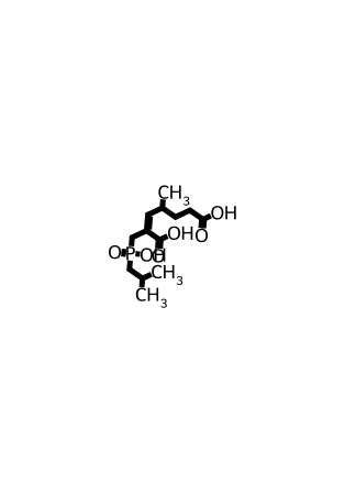 CC(C)CP(=O)(O)CC(=CC(C)CCC(=O)O)C(=O)O